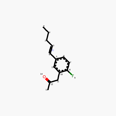 CCC/C=C/c1ccc(F)c(CC(C)=O)c1